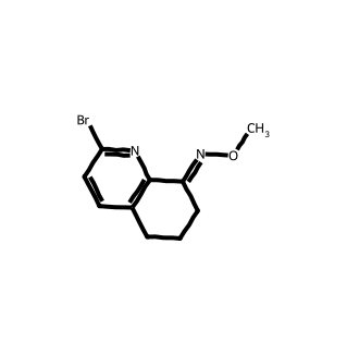 CON=C1CCCc2ccc(Br)nc21